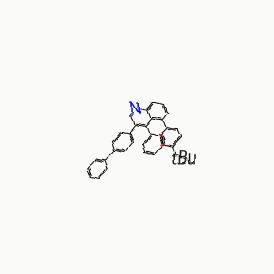 CC(C)(C)c1ccc(-c2cccc3ncc(-c4ccc(-c5ccccc5)cc4)c(-c4ccccc4)c23)cc1